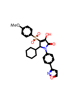 COc1ccc(S(=O)(=O)C2=C(O)C(=O)N(c3ccc(-c4ccon4)cc3)C2C2CCCCC2)cc1